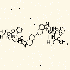 C=C(NCC(=O)N(Cc1nc2ccc3cc(C4C=C5CCc6nc(CN(CCCN)C(=O)[C@H](NC(=O)OC)c7ccccc7)[nH]c6C5=CC4)ccc3c2[nH]1)CC1(C)OCCO1)OC